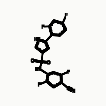 N#Cc1cc(F)c(NS(=O)(=O)c2c[nH]c(-c3ccc(F)cc3F)c2)cc1F